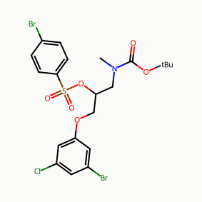 CN(CC(COc1cc(Cl)cc(Br)c1)OS(=O)(=O)c1ccc(Br)cc1)C(=O)OC(C)(C)C